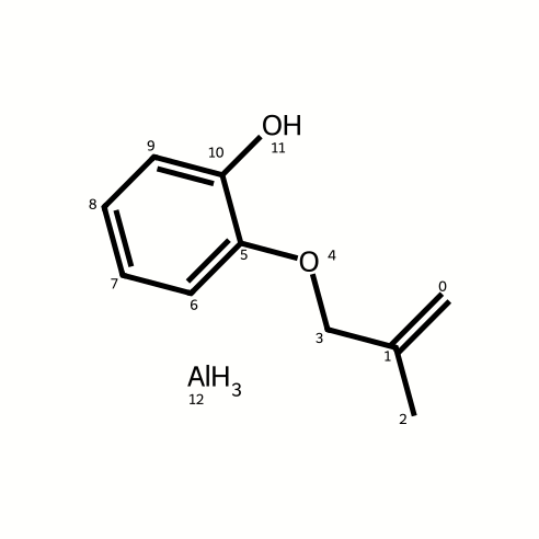 C=C(C)COc1ccccc1O.[AlH3]